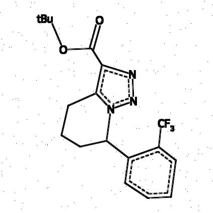 CC(C)(C)OC(=O)c1nnn2c1CCCC2c1ccccc1C(F)(F)F